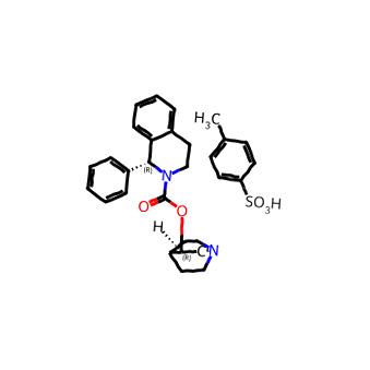 Cc1ccc(S(=O)(=O)O)cc1.O=C(O[C@H]1CN2CCC1CC2)N1CCc2ccccc2[C@H]1c1ccccc1